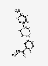 NNC(=O)c1cc(N2CCN(c3ccc([N+](=O)[O-])cc3)CC2)ccn1